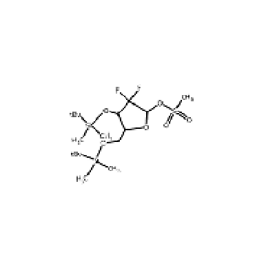 CC(C)(C)[Si](C)(C)OCC1OC(OS(C)(=O)=O)C(F)(F)C1O[Si](C)(C)C(C)(C)C